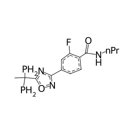 CCCNC(=O)c1ccc(-c2noc(C(C)(P)P)n2)cc1F